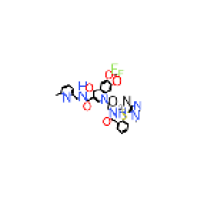 Cc1cccc(CNC(=O)c2cn(CCNC(=O)c3ccccc3Sc3c([N+](=O)[O-])ncn3C)c3cc4c(cc3c2=O)OC(F)(F)O4)n1